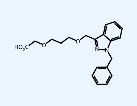 O=C(O)COCCCOCc1nn(Cc2ccccc2)c2ccccc12